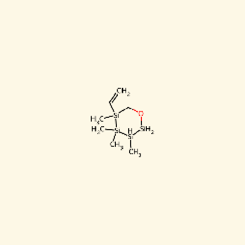 C=C[Si]1(C)CO[SiH2][SiH](C)[Si]1(C)C